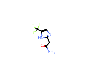 NC(=O)Cc1ncc(C(F)(F)F)[nH]1